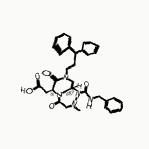 CN1CC(=O)N2[C@@H](CC(=O)O)C(=O)N(CCC(c3ccccc3)c3ccccc3)C[C@@H]2N1C(=O)NCc1ccccc1